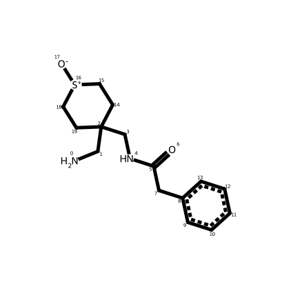 NCC1(CNC(=O)Cc2ccccc2)CC[S+]([O-])CC1